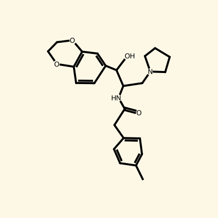 Cc1ccc(CC(=O)NC(CN2CCCC2)C(O)c2ccc3c(c2)OCCO3)cc1